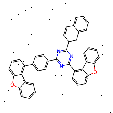 C1=CC(c2nc(-c3ccc(-c4cccc5oc6ccccc6c45)cc3)nc(-c3cccc4oc5ccccc5c34)n2)Cc2ccccc21